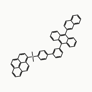 C[Si](C)(c1ccc(-c2cccc(-c3c4ccccc4c(-c4ccc5ccccc5c4)c4ccccc34)c2)cc1)c1ccc2ccc3cccc4ccc1c2c34